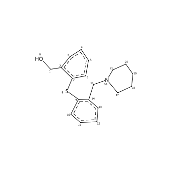 OCc1ccccc1Sc1ccccc1CN1CCCCC1